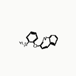 [SiH3]c1ccccc1Oc1ccc2ccccc2n1